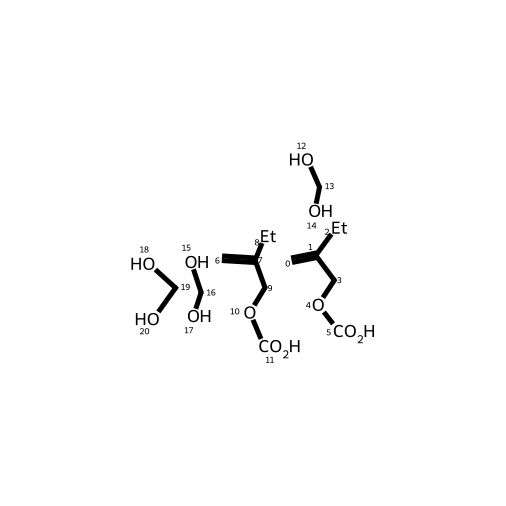 C=C(CC)COC(=O)O.C=C(CC)COC(=O)O.OCO.OCO.OCO